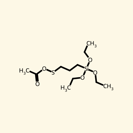 CCO[Si](CCCSOC(C)=O)(OCC)OCC